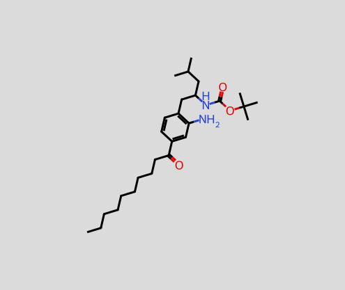 CCCCCCCCCC(=O)c1ccc(CC(CC(C)C)NC(=O)OC(C)(C)C)c(N)c1